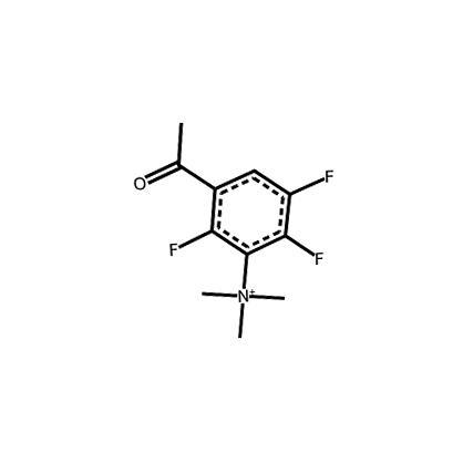 CC(=O)c1cc(F)c(F)c([N+](C)(C)C)c1F